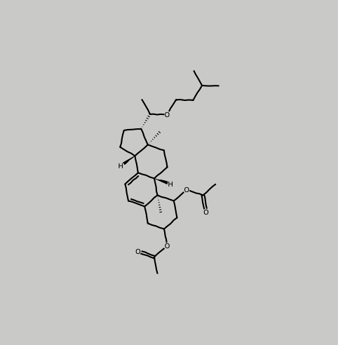 CC(=O)OC1CC2=CC=C3[C@@H]4CC[C@H](C(C)OCCC(C)C)[C@@]4(C)CC[C@@H]3[C@@]2(C)C(OC(C)=O)C1